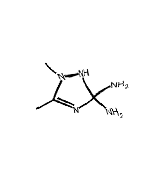 CC1=NC(N)(N)NN1C